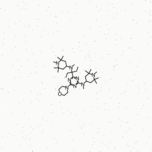 CCC(CC)(c1nc(N2CCOCC2)nc(N(C)C2CC(C)(C)N(C)C(C)(C)C2)n1)N(C)C1CC(C)(C)N(C)C(C)(C)C1